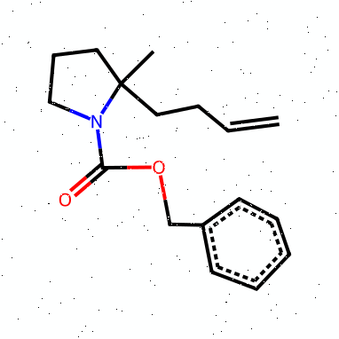 C=CCCC1(C)CCCN1C(=O)OCc1ccccc1